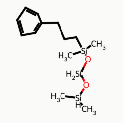 C[SiH](C)O[SiH2]O[Si](C)(C)CCCc1ccccc1